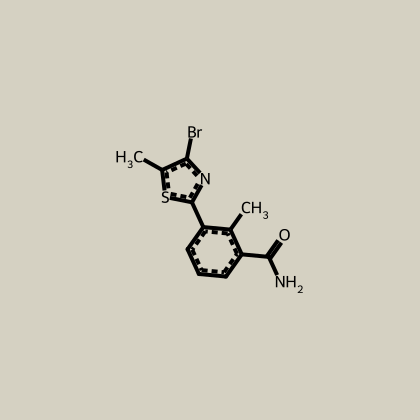 Cc1sc(-c2cccc(C(N)=O)c2C)nc1Br